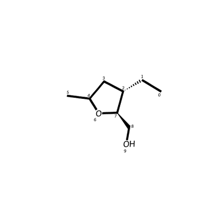 CC[C@H]1CC(C)O[C@@H]1CO